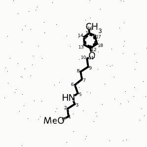 COCCCNCCCCCCOc1ccc(C)cc1